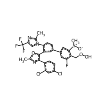 Cc1nc(-c2ccc(Cl)cc2Cl)c(-c2cc(-c3cc(F)c(COO)c([S+](C)[O-])c3)ccc2-n2cc(C(F)(F)F)nc2C)o1